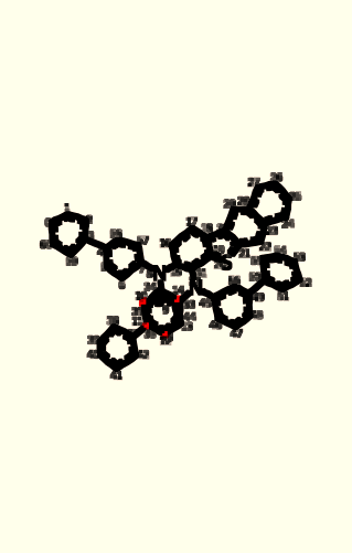 c1ccc(-c2ccc(N(c3ccccc3)c3ccc4c(sc5cc6ccccc6cc54)c3N(c3ccc(-c4ccccc4)cc3)c3cccc(-c4ccccc4)c3)cc2)cc1